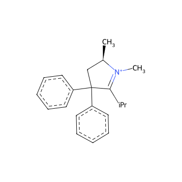 CC(C)C1=[N+](C)[C@H](C)CC1(c1ccccc1)c1ccccc1